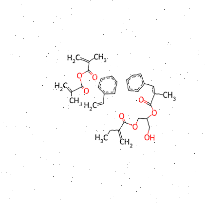 C=C(C)C(=O)OC(=O)C(=C)C.C=C(CC)C(=O)OCC(CO)OC(=O)C(C)=Cc1ccccc1.C=Cc1ccccc1